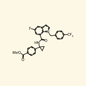 COC(=O)c1ccc(C2(NC(=O)c3cc(F)cc4ccn(Cc5ccc(C(F)(F)F)cc5)c34)CC2)cc1